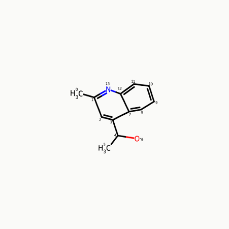 Cc1cc(C(C)[O])c2ccccc2n1